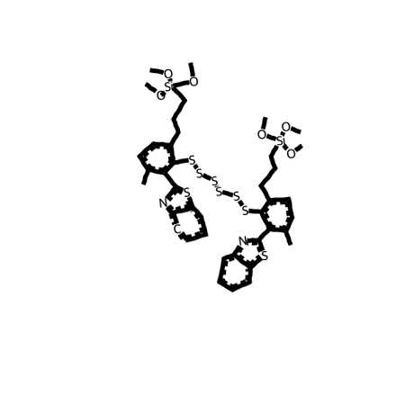 CO[Si](CCCc1ccc(C)c(-c2nc3ccccc3s2)c1SSSSSSc1c(CCC[Si](OC)(OC)OC)ccc(C)c1-c1nc2ccccc2s1)(OC)OC